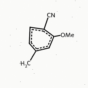 [CH2]c1ccc(C#N)c(OC)c1